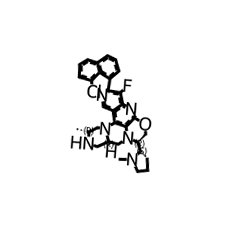 C[C@@H]1CN2c3c4c(nc5c(F)c(-c6cccc7cccc(Cl)c67)ncc35)OC[C@@H]([C@@H]3CCCN3C)N4C[C@H]2CN1